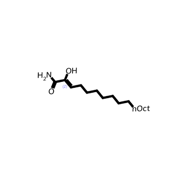 CCCCCCCCCCCCCCC/C=C(\O)C(N)=O